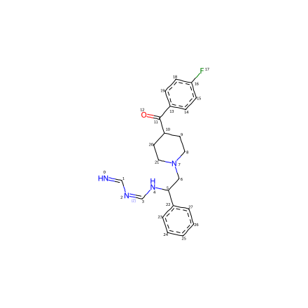 N=C/N=C\NC(CN1CCC(C(=O)c2ccc(F)cc2)CC1)c1ccccc1